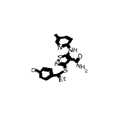 CCC(Sc1nsc(Nc2ccc(C)cn2)c1C(N)=O)c1ccc(Cl)cc1